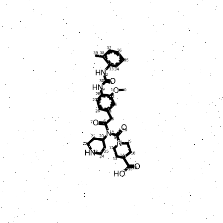 COc1cc(CC(=O)N(C(=O)N2CCC(C(=O)O)CC2)C2CCNCC2)ccc1NC(=O)Nc1ccccc1C